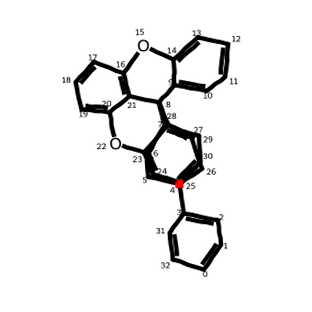 c1ccc(-c2ccc(C34c5ccccc5Oc5cccc(c53)Oc3ccccc34)cc2)cc1